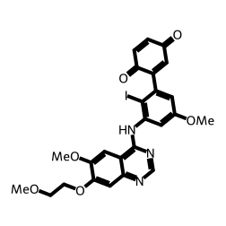 COCCOc1cc2ncnc(Nc3cc(OC)cc(C4=CC(=O)C=CC4=O)c3I)c2cc1OC